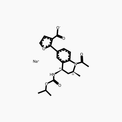 CC(=O)N1c2ccc(-c3occc3C(=O)[O-])cc2[C@H](NC(=O)OC(C)C)C[C@@H]1C.[Na+]